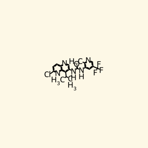 Cc1ncc(C(F)(F)F)cc1NC(=O)Nc1cnc2ccc(Cl)nc2c1C(C)C